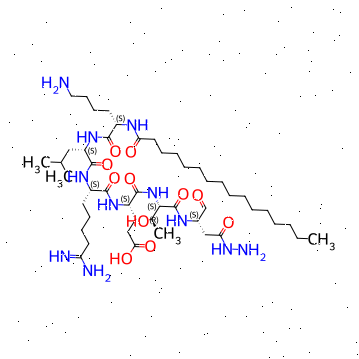 CCCCCCCCCCCCCCCC(=O)N[C@@H](CCCCN)C(=O)N[C@@H](CC(C)C)C(=O)N[C@@H](CCCCC(=N)N)C(=O)N[C@@H](CCC(=O)O)C(=O)N[C@H](C(=O)N[C@H](C=O)CC(=O)NN)[C@@H](C)O